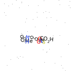 COc1ccccc1CCNCc1ccc(-c2ccc(S(=O)(=O)N3CCSC(C)(C)[C@@H]3C(=O)O)cc2)cc1